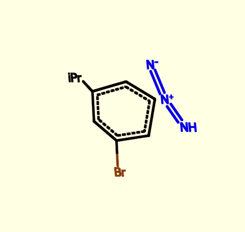 CC(C)c1cccc(Br)c1.[N-]=[N+]=N